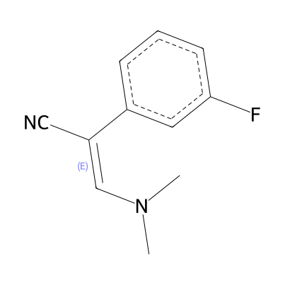 CN(C)/C=C(/C#N)c1cccc(F)c1